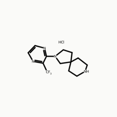 Cl.FC(F)(F)c1nccnc1N1CCC2(CCNCC2)C1